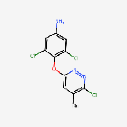 CCC(C)c1cc(Oc2c(Cl)cc(N)cc2Cl)nnc1Cl